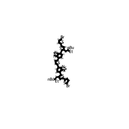 CCCCC(CC)Cc1cc(-c2ccc(Br)s2)sc1-c1ccc(-c2ccc(-c3ccc(-c4sc(-c5ccc(Br)s5)cc4CC(CC)CCCC)c4nsnc34)s2)c2nsnc12